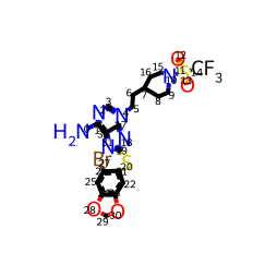 Nc1ncn(CCC2CCN(S(=O)(=O)C(F)(F)F)CC2)c2nc(Sc3cc4c(cc3Br)OCO4)nc1-2